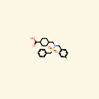 O=C(O)C1CCC(CN(Cc2ccc(F)cc2)S(=O)(=O)Cc2ccccc2)CC1